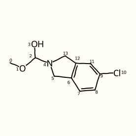 COC(O)N1Cc2ccc(Cl)cc2C1